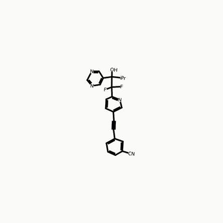 CC(C)C(O)(c1cncnc1)C(F)(F)c1ccc(C#Cc2cccc(C#N)c2)cn1